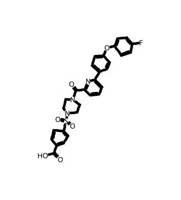 O=C(O)c1ccc(S(=O)(=O)N2CCN(C(=O)c3cccc(-c4ccc(Oc5ccc(F)cc5)cc4)n3)CC2)cc1